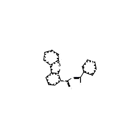 N=C(/N=C(\N)c1ccccc1)c1cccc2c1sc1ccccc12